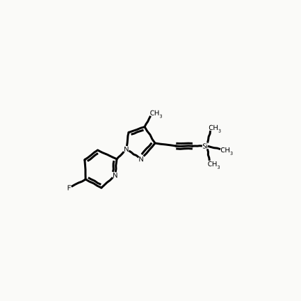 Cc1cn(-c2ccc(F)cn2)nc1C#C[Si](C)(C)C